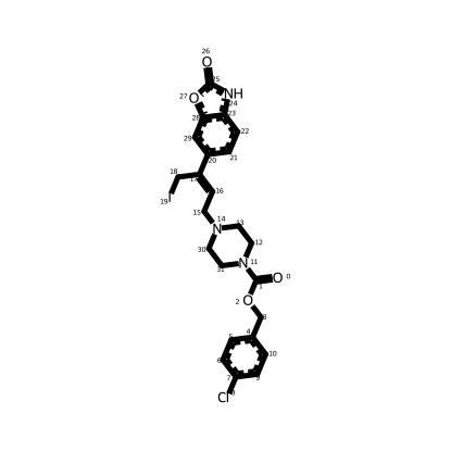 O=C(OCc1ccc(Cl)cc1)N1CCN(C/C=C(\CI)c2ccc3[nH]c(=O)oc3c2)CC1